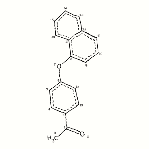 CC(=O)c1ccc(Oc2cccc3ccccc23)cc1